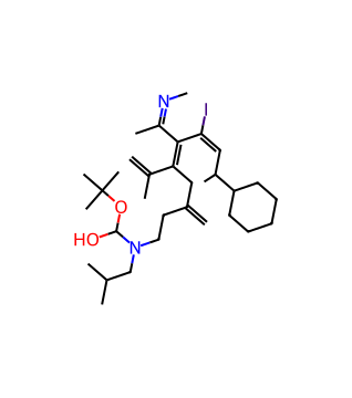 C=C(CCN(CC(C)C)C(O)OC(C)(C)C)C/C(C(=C)C)=C(C(/C)=N\C)\C(I)=C/C(C)C1CCCCC1